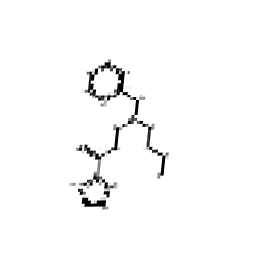 CCCCN(CCC(=O)c1ccco1)Cc1ccccc1